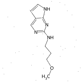 COCCCNc1ncc2cc[nH]c2n1